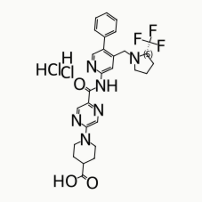 Cl.Cl.O=C(Nc1cc(CN2CCC[C@H]2C(F)(F)F)c(-c2ccccc2)cn1)c1cnc(N2CCC(C(=O)O)CC2)cn1